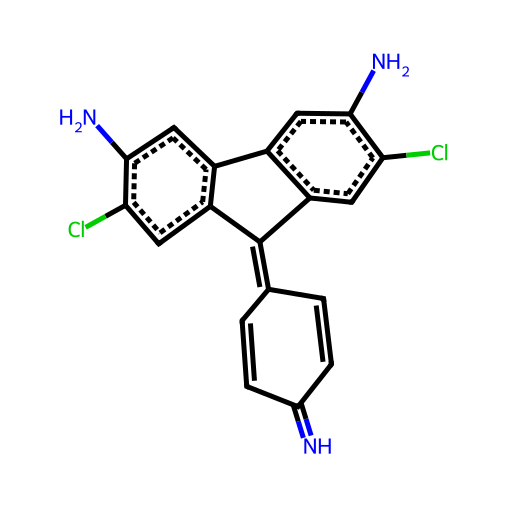 N=C1C=CC(=C2c3cc(Cl)c(N)cc3-c3cc(N)c(Cl)cc32)C=C1